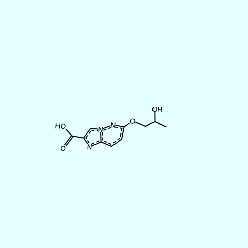 CC(O)COc1ccc2nc(C(=O)O)cn2n1